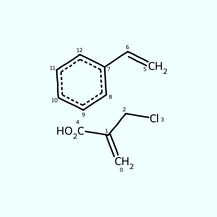 C=C(CCl)C(=O)O.C=Cc1ccccc1